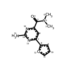 CN(C)C(=O)c1cc(-c2ccco2)nc(N)n1